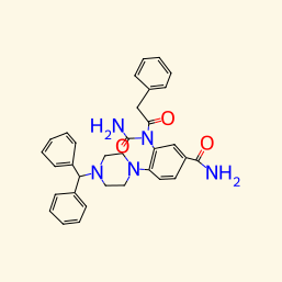 NC(=O)c1ccc(N2CCN(C(c3ccccc3)c3ccccc3)CC2)c(N(C(N)=O)C(=O)Cc2ccccc2)c1